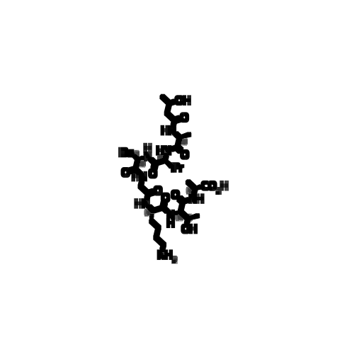 CC[C@H](C)[C@H](NC(=O)[C@@H](NC(=O)[C@H](C)NC(=O)CC(C)O)C(C)C)C(=O)NCC(=O)N[C@@H](CCCCN)C(=O)N[C@H](C(=O)N[C@@H](C)C(=O)O)[C@@H](C)O